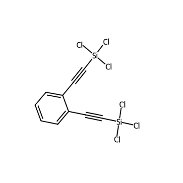 Cl[Si](Cl)(Cl)C#Cc1ccccc1C#C[Si](Cl)(Cl)Cl